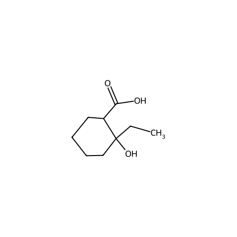 CCC1(O)CCCCC1C(=O)O